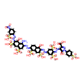 Nc1c(N=Nc2ccc3c(O)c(N=Nc4cc(S(=O)(=O)O)c(N=Nc5c(C(=O)O)nn(-c6ccc(S(=O)(=O)O)cc6)c5O)c(S(=O)(=O)O)c4)c(S(=O)(=O)O)cc3c2S(=O)(=O)O)cc(S(=O)(=O)O)c2cc(S(=O)(=O)O)c(N=Nc3ccc([N+](=O)[O-])cc3S(=O)(=O)O)c(O)c12